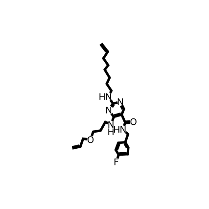 C=CCCCCCCNc1ncc(C(=O)NCc2ccc(F)cc2)c(NCCCOCC=C)n1